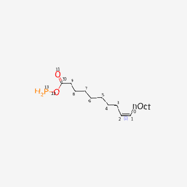 CCCCCCCC/C=C\CCCCCCCC(=O)OP